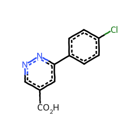 O=C(O)c1cnnc(-c2ccc(Cl)cc2)c1